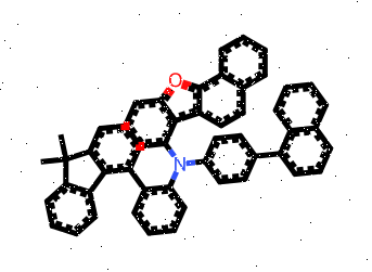 CC1(C)c2ccccc2-c2c(-c3ccccc3N(c3ccc(-c4cccc5ccccc45)cc3)c3cccc4oc5c6ccccc6ccc5c34)cccc21